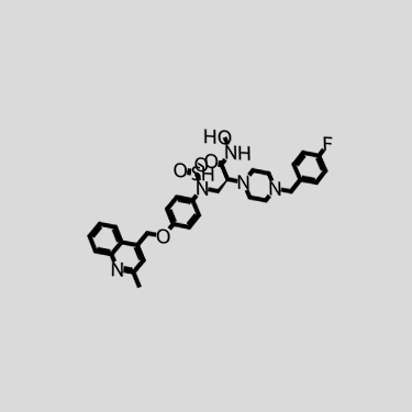 Cc1cc(COc2ccc(N(C[C@@H](C(=O)NO)N3CCN(Cc4ccc(F)cc4)CC3)[SH](=O)=O)cc2)c2ccccc2n1